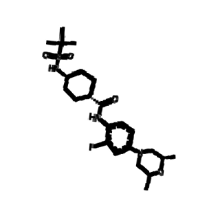 CC1CN(c2ccc(NC(=O)[C@H]3CC[C@H](NS(=O)(=O)C(C)(C)C)CC3)c(F)c2)C[C@@H](C)O1